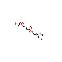 COCCCC(=O)OCCC(C)C